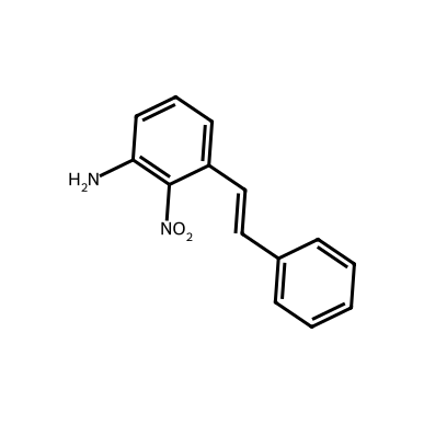 Nc1cccc(C=Cc2ccccc2)c1[N+](=O)[O-]